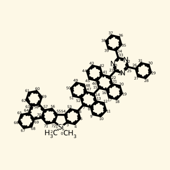 C[Si]1(C)c2ccc(-c3c4ccccc4c(-c4c5ccccc5c(-c5nc(-c6ccccc6)nc(-c6ccccc6)n5)c5ccccc45)c4ccccc34)cc2-c2cc3c4ccccc4c4ccccc4c3cc21